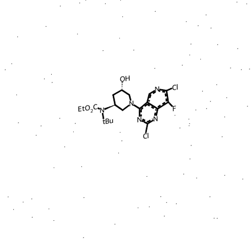 CCOC(=O)N([C@H]1C[C@H](O)CN(c2nc(Cl)nc3c(F)c(Cl)ncc23)C1)C(C)(C)C